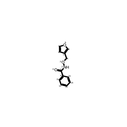 O=C(NOCc1ccoc1)c1ccccc1